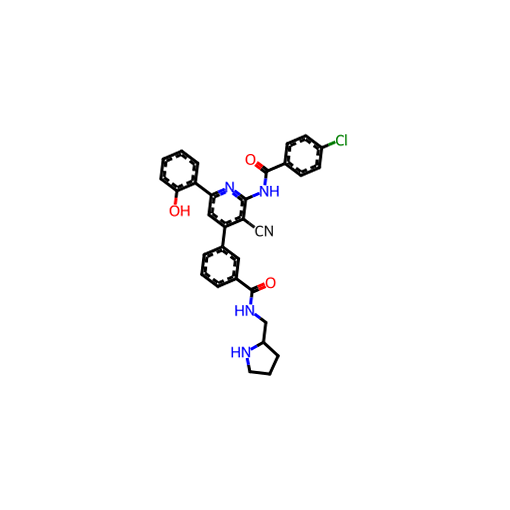 N#Cc1c(-c2cccc(C(=O)NCC3CCCN3)c2)cc(-c2ccccc2O)nc1NC(=O)c1ccc(Cl)cc1